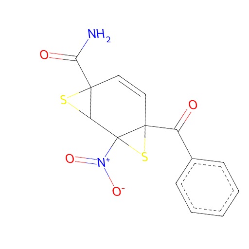 NC(=O)C12C=CC3(C(=O)c4ccccc4)SC3([N+](=O)[O-])C1S2